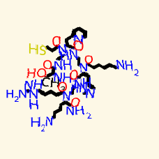 CC(O)C(N)C(=O)NCCN(C(=O)CCS)C(Cc1ccccn1)C(=O)NCCN(C(=O)CCCCCN)C(Cc1cnc[nH]1)C(=O)NCCN(C(=O)CCCCNC(=N)N)C(CCCCN)C(N)=O